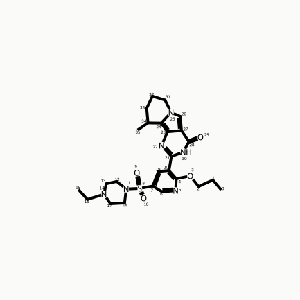 CCCOc1ncc(S(=O)(=O)N2CCN(CC)CC2)cc1-c1nc2c3n(cc2c(=O)[nH]1)CCCC3C